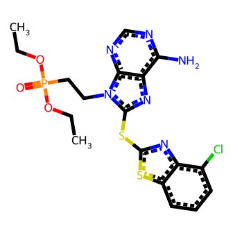 CCOP(=O)(CCn1c(Sc2nc3c(Cl)cccc3s2)nc2c(N)ncnc21)OCC